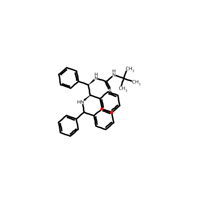 CC(C)(C)NC(=S)N[C@H](c1ccccc1)[C@H](NC(c1ccccc1)c1ccccc1)c1ccccc1